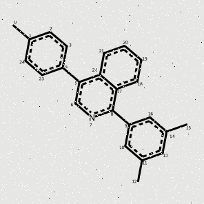 Cc1ccc(-c2cnc(-c3cc(C)cc(C)c3)c3ccccc23)cc1